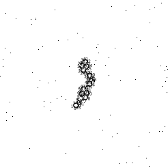 c1ccc2sc(-c3ccc4ccc5c(-c6ccc7sc8ccc(-c9ccc%10ccc%11cccc%12ccc9c%10c%11%12)cc8c7c6)ccc6ccc3c4c65)cc2c1